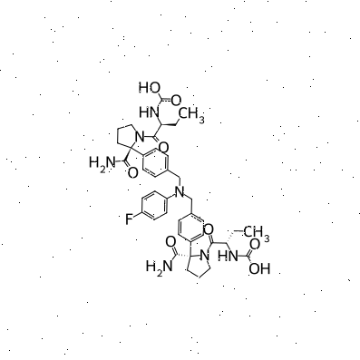 CC[C@H](NC(=O)O)C(=O)N1CCC[C@@]1(C(N)=O)c1ccc(CN(Cc2ccc([C@]3(C(N)=O)CCCN3C(=O)[C@H](CC)NC(=O)O)cc2)c2ccc(F)cc2)cc1